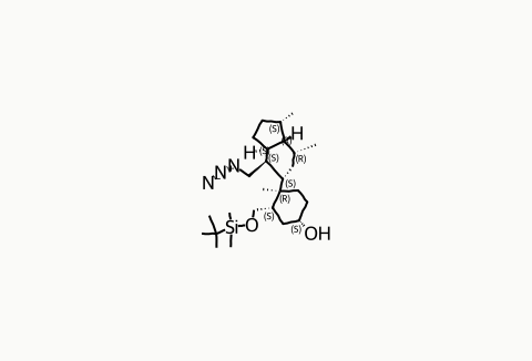 C[C@@H]1C[C@H]([C@@]2(C)CC[C@H](O)C[C@@H]2CO[Si](C)(C)C(C)(C)C)[C@@H](CN=[N+]=[N-])[C@H]2CC[C@H](C)[C@@H]21